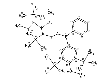 CCC(C(OC)C(CCP(c1ccccc1)c1cc(C(C)(C)C)c(OC)c(C(C)(C)C)c1)C(C)(C)C)C(C)(C)C